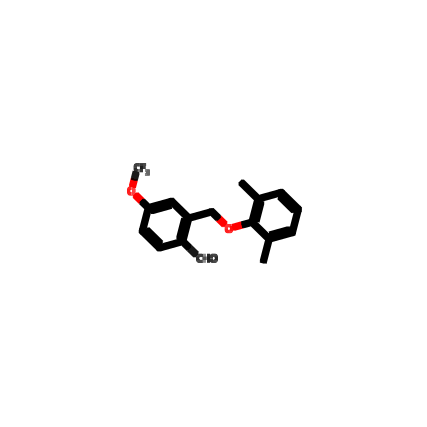 Cc1cccc(C)c1OCc1cc(OC(F)(F)F)ccc1C=O